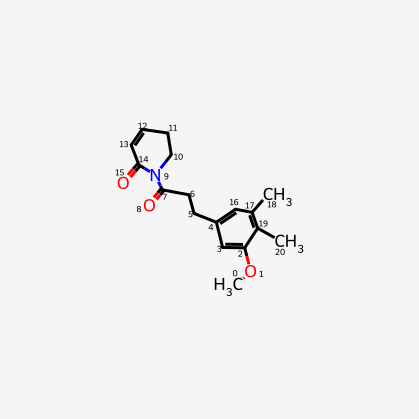 COc1cc(CCC(=O)N2CCC=CC2=O)cc(C)c1C